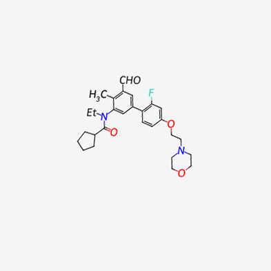 CCN(C(=O)C1CCCC1)c1cc(-c2ccc(OCCN3CCOCC3)cc2F)cc(C=O)c1C